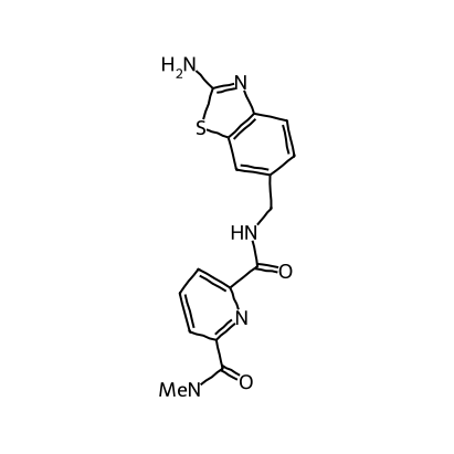 CNC(=O)c1cccc(C(=O)NCc2ccc3nc(N)sc3c2)n1